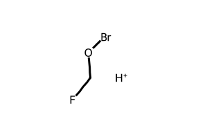 FCOBr.[H+]